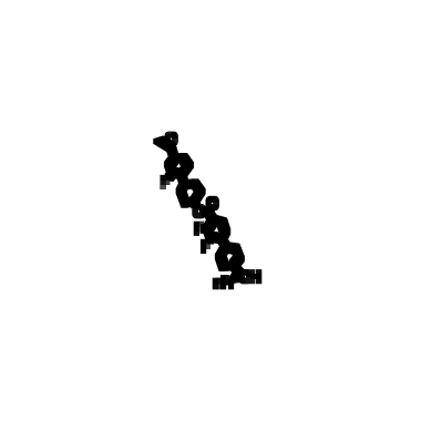 CCCC(O)c1ccc(-c2ccc(C(=O)OC3CCC(c4ccc(C5CO5)cc4F)CC3)c(F)c2F)cc1